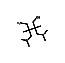 CN(C)CC(C)(CN)C(C)(CO)CN(C)C